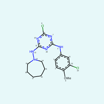 COc1ccc(Nc2nc(Cl)nc(NN3CCCCCC3)n2)cc1Cl